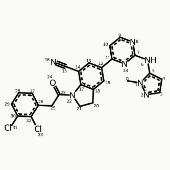 Cn1nccc1Nc1nccc(-c2cc(C#N)c3c(c2)CCN3C(=O)Cc2cccc(Cl)c2Cl)n1